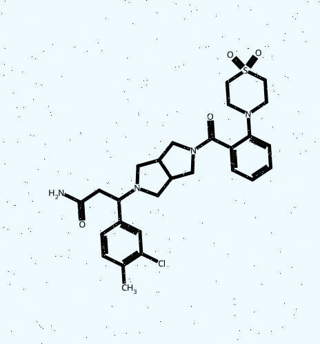 Cc1ccc(C(CC(N)=O)N2CC3CN(C(=O)c4ccccc4N4CCS(=O)(=O)CC4)CC3C2)cc1Cl